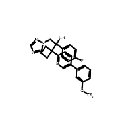 OC(Cn1cncn1)(c1ccc(F)cc1)C1(c2ccc(-c3cccc(OC(F)(F)F)c3)cn2)CCC1